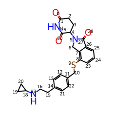 O=C1CCC(N2Cc3c(SCc4ccc(CCNC5CC5)cc4)cccc3C2=O)C(=O)N1